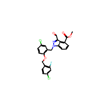 COC(=O)c1cccc2c1c(C=O)nn2Cc1cc(Cl)ccc1OCc1ccc(Cl)cc1F